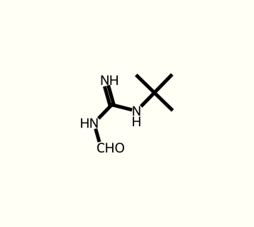 CC(C)(C)NC(=N)NC=O